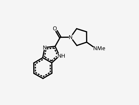 CNC1CCN(C(=O)c2nc3ccccc3[nH]2)C1